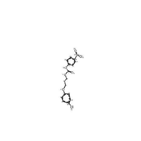 O=C(OCCCOc1ccc(Cl)cc1)Oc1ccc([N+](=O)[O-])cc1